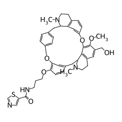 COc1c(CO)cc2c3c1Oc1ccc4c(c1)C(Cc1ccc(cc1)Oc1cc(ccc1OCCCNC(=O)c1cncs1)CC3N(C)CC2)N(C)CC4